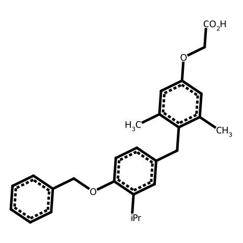 Cc1cc(OCC(=O)O)cc(C)c1Cc1ccc(OCc2ccccc2)c(C(C)C)c1